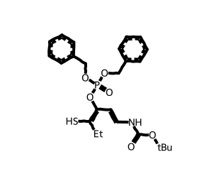 CC/C(S)=C(\C=C\NC(=O)OC(C)(C)C)OP(=O)(OCc1ccccc1)OCc1ccccc1